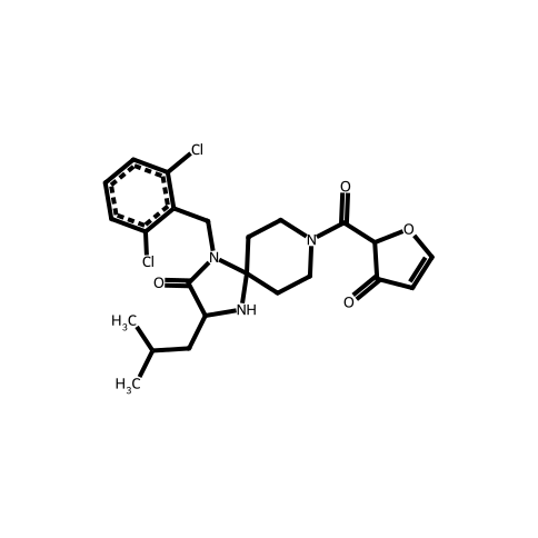 CC(C)CC1NC2(CCN(C(=O)C3OC=CC3=O)CC2)N(Cc2c(Cl)cccc2Cl)C1=O